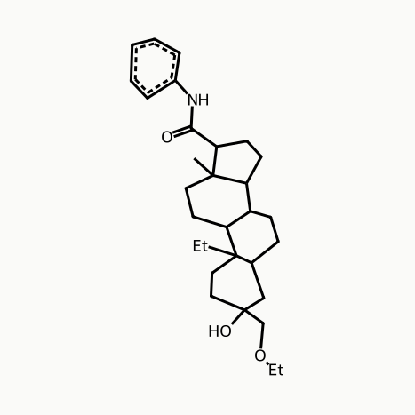 CCOCC1(O)CCC2(CC)C(CCC3C4CCC(C(=O)Nc5ccccc5)C4(C)CCC32)C1